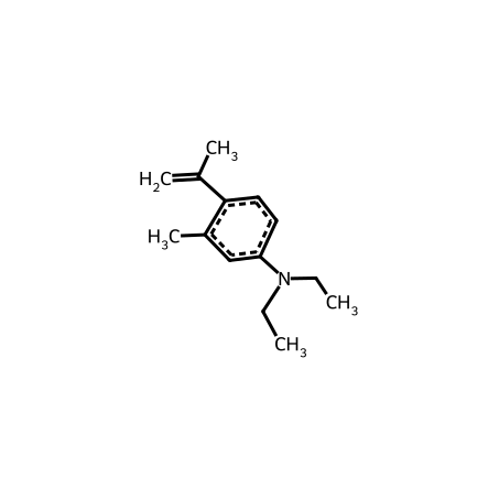 C=C(C)c1ccc(N(CC)CC)cc1C